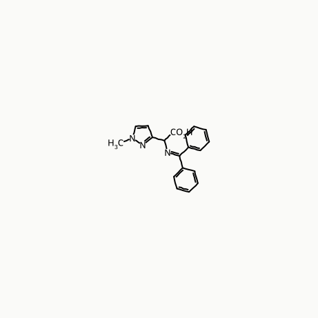 Cn1ccc(C(N=C(c2ccccc2)c2ccccc2)C(=O)O)n1